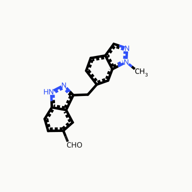 Cn1ncc2ccc(Cc3n[nH]c4ccc(C=O)cc34)cc21